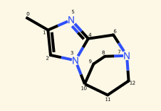 Cc1cn2c(n1)CN1CCC2CC1